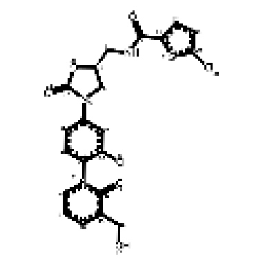 O=C(NC[C@H]1CN(c2ccc(-n3cccc(CO)c3=O)c(Cl)c2)C(=O)O1)c1ccc(Cl)s1